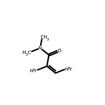 CCCC=C(CCC)C(=O)N(C)C